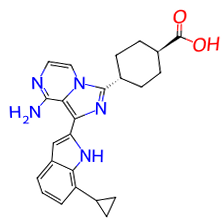 Nc1nccn2c1c(-c1cc3cccc(C4CC4)c3[nH]1)nc2[C@H]1CC[C@H](C(=O)O)CC1